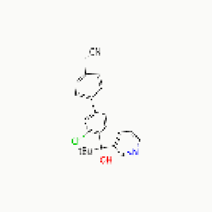 CC(C)(C)C(O)(c1cccnc1)c1ccc(-c2ccc(CC#N)cc2)cc1Cl